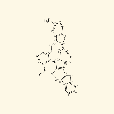 C=Nc1cccc(-c2ccc3oc4ccc(N)cc4c3c2)c1-n1c2c(c3ccccc31)-c1sc3ccccc3c1CC2